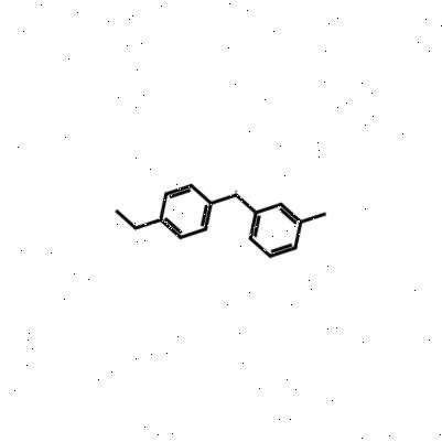 CCc1ccc([CH]c2cccc(C)c2)cc1